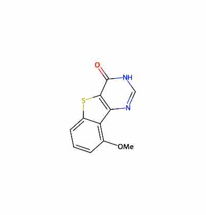 COc1cccc2sc3c(=O)[nH]cnc3c12